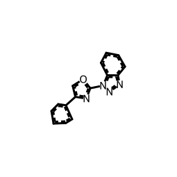 c1ccc(-c2coc(-n3nnc4ccccc43)n2)cc1